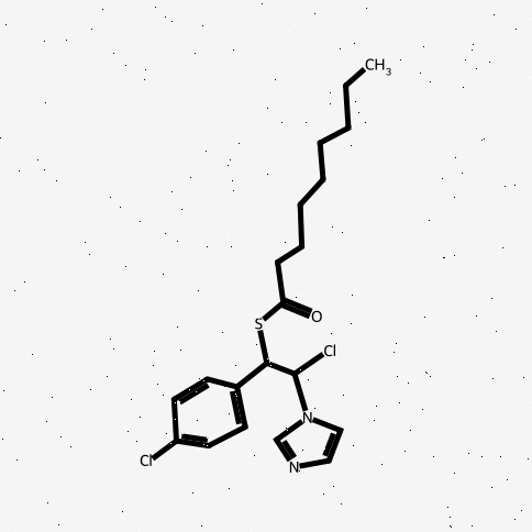 CCCCCCCCC(=O)SC(c1ccc(Cl)cc1)C(Cl)n1ccnc1